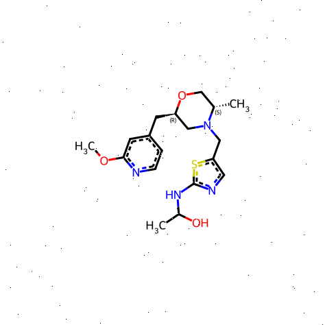 COc1cc(C[C@@H]2CN(Cc3cnc(NC(C)O)s3)[C@@H](C)CO2)ccn1